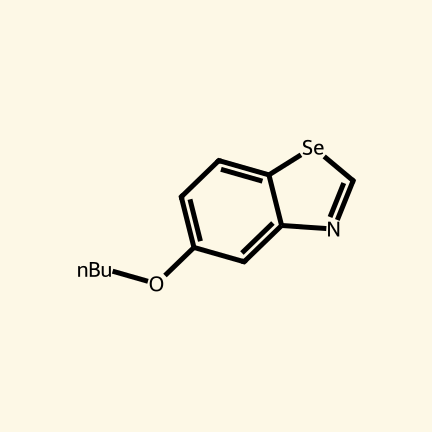 CCCCOc1ccc2[se]cnc2c1